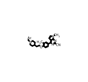 CC(=O)CN1CCC(CCOc2ccc(-c3nc(C#N)nc4c3ccn4C)cc2C)CC1